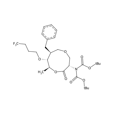 C[C@@H]1OC(=O)[C@@H](N(C(=O)OC(C)(C)C)C(=O)OC(C)(C)C)COC[C@H](Cc2ccccc2)[C@H]1OCCCC(F)(F)F